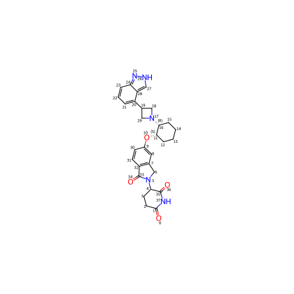 O=C1CCC(N2Cc3cc(O[C@H]4CCCC[C@H]4N4CC(c5cccc6n[nH]cc56)C4)ccc3C2=O)C(=O)N1